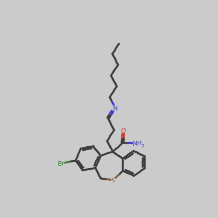 CCCCCCN=CCCC1(C(N)=O)c2ccc(Br)cc2CSc2ccccc21